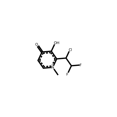 Cn1ccc(=O)c(O)c1C(Cl)C(F)F